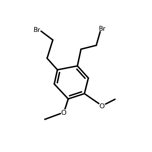 COc1cc(CCBr)c(CCBr)cc1OC